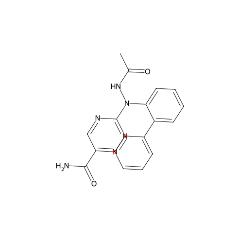 CC(=O)NN(c1ncc(C(N)=O)cn1)c1ccccc1-c1cccnc1